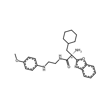 COc1ccc(NCCNC(=O)[C@@](N)(CC2CCCCC2)c2nc3ccccc3o2)cc1